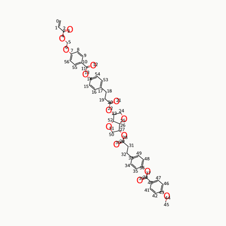 C=CC(=O)OCOc1ccc(C(=O)Oc2ccc(CCC(=O)OC3COC4C(OC(=O)CCc5ccc(OC(=O)c6ccc(OC)cc6)cc5)COC34)cc2)cc1